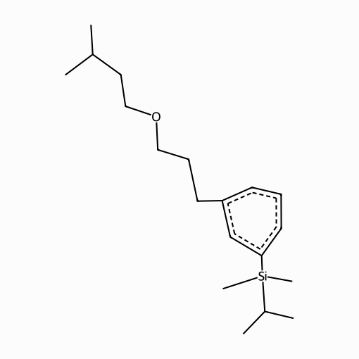 CC(C)CCOCCCc1cccc([Si](C)(C)C(C)C)c1